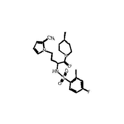 Cc1cc(F)ccc1S(=O)(=O)NC(CCn1cccc1C#N)C(=O)N1CCC(C)CC1